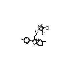 Cc1ccc(-c2nc3ccc(C)cn3c2CCOc2nsc(Cl)c2Cl)cc1